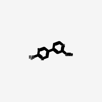 COc1cc(-c2cnc(C(F)(F)F)nc2)ccn1